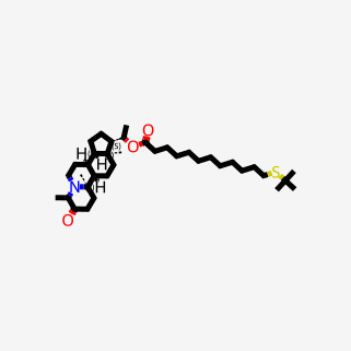 CC(OC(=O)CCCCCCCCCCCSC(C)(C)C)[C@H]1CC[C@H]2[C@@H]3CCN4C(C)C(=O)CC[C@]4(C)[C@H]3CC[C@]12C